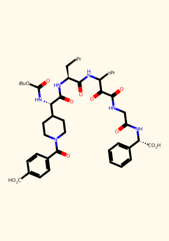 CCCC(NC(=O)[C@H](CC(C)C)NC(=O)[C@@H](NC(=O)OCC(C)C)C1CCN(C(=O)c2ccc(C(=O)O)cc2)CC1)C(=O)C(=O)NCC(=O)N[C@H](C(=O)O)c1ccccc1